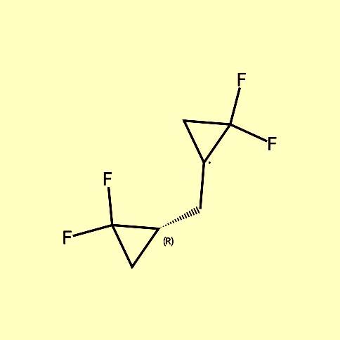 FC1(F)C[C]1C[C@@H]1CC1(F)F